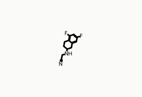 N#CCNC1CCc2c(F)cc(F)cc2C1